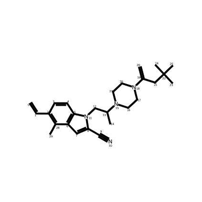 C=Cc1ccc2c(cc(C#N)n2CC(C)N2CCN(C(=C)CC(C)(C)C)CC2)c1C